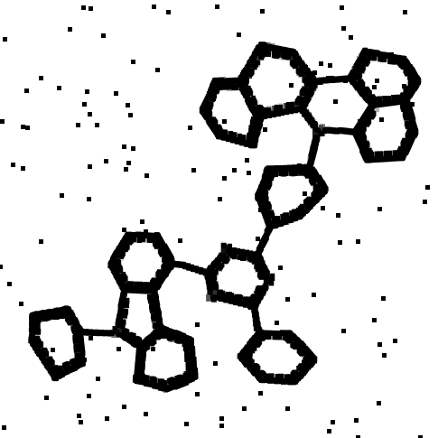 c1ccc(-c2nc(-c3ccc(N4c5c(ccc6ccccc56)-c5cccc6cccc4c56)cc3)nc(-c3cccc4c3c3ccccc3n4-c3ccccc3)n2)cc1